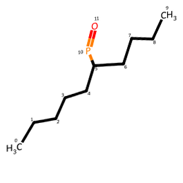 CCCCCC(CCCC)P=O